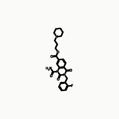 NC(=O)n1c(=O)n(Cc2ccccc2F)c(=O)c2ccc(C(=O)OCCCN3CCCCC3)cc21